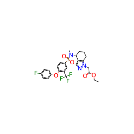 CCOC(=O)Cn1ncc2c1CCC[C@H]2N(C)S(=O)(=O)c1ccc(Oc2ccc(F)cc2)c(C(F)(F)F)c1